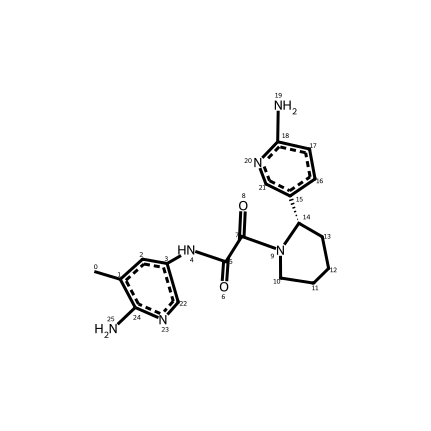 Cc1cc(NC(=O)C(=O)N2CCCC[C@H]2c2ccc(N)nc2)cnc1N